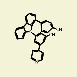 N#Cc1ccc(-c2cccc3c4ccccc4n(-c4cc(C#N)cc(-c5ccncc5)c4)c23)cc1